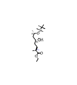 CCOC(=O)/C(C)=C/C[C@@H](O)C[C@H](C)O[Si](C)(C)C(C)(C)C